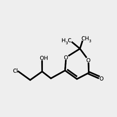 CC1(C)OC(=O)C=C(CC(O)CCl)O1